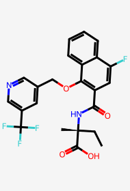 CC[C@@](C)(NC(=O)c1cc(F)c2ccccc2c1OCc1cncc(C(F)(F)F)c1)C(=O)O